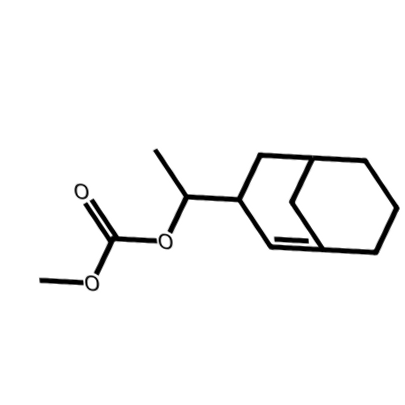 COC(=O)OC(C)C1C=C2CCCC(C2)C1